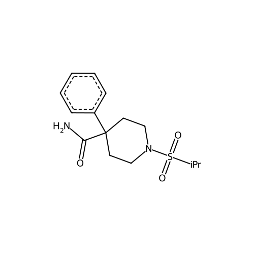 CC(C)S(=O)(=O)N1CCC(C(N)=O)(c2ccccc2)CC1